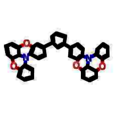 C1=CC2Oc3ccccc3N3c4ccc(-c5cccc(-c6ccc7c(c6)OC6=CC=CC8Oc9ccccc9N7C68)c5)cc4OC(=C1)C23